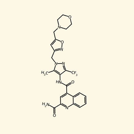 Cc1c(NC(=O)c2cc(C(N)=O)nc3ccccc23)c(C(F)(F)F)nn1Cc1cc(CN2CCOCC2)on1